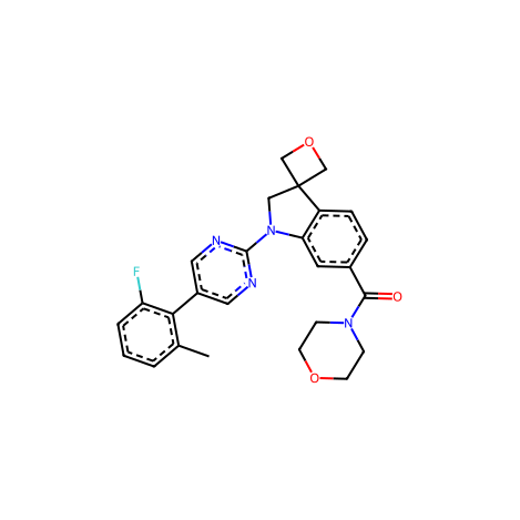 Cc1cccc(F)c1-c1cnc(N2CC3(COC3)c3ccc(C(=O)N4CCOCC4)cc32)nc1